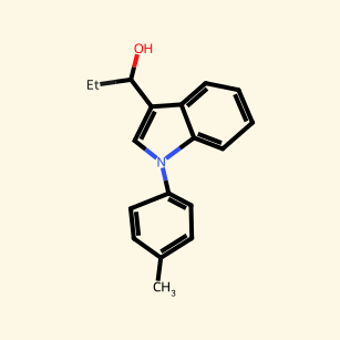 CCC(O)c1cn(-c2ccc(C)cc2)c2ccccc12